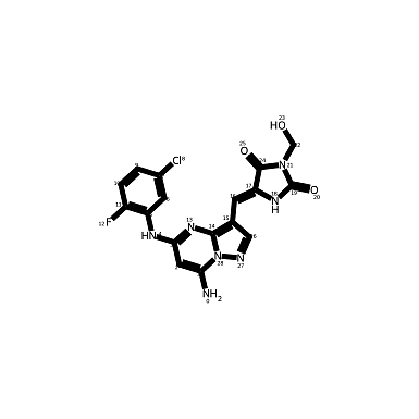 Nc1cc(Nc2cc(Cl)ccc2F)nc2c(/C=C3\NC(=O)N(CO)C3=O)cnn12